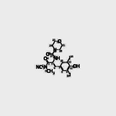 CN(C#N)C(=O)[C@H](Cc1cc(I)c(O)c(I)c1)NC(=O)N1CCOCC1